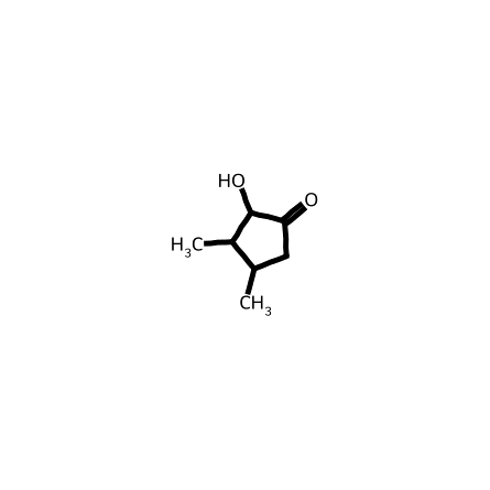 CC1CC(=O)C(O)C1C